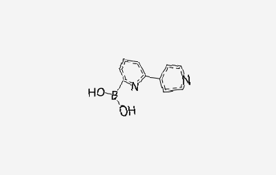 OB(O)c1cccc(-c2ccncc2)n1